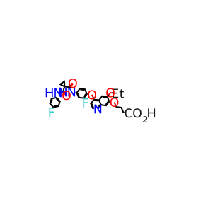 CCOc1cc2c(Oc3ccc(NC(=O)C4(C(=O)Nc5ccc(F)cc5)CC4)cc3F)ccnc2cc1OCCCC(=O)O